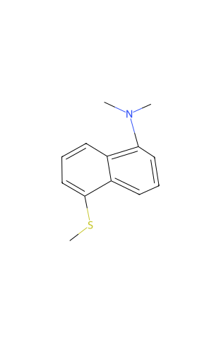 CSc1cccc2c(N(C)C)cccc12